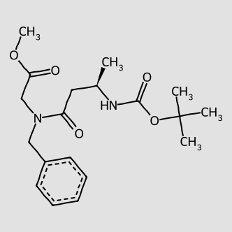 COC(=O)CN(Cc1ccccc1)C(=O)C[C@@H](C)NC(=O)OC(C)(C)C